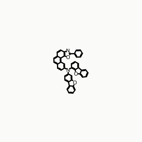 c1ccc(-c2nc3ccc4ccc5ccc(N(c6ccc7c(c6)oc6ccccc67)c6cccc7c6oc6ccccc67)cc5c4c3o2)cc1